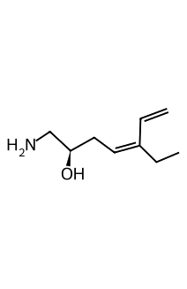 C=C/C(=C\C[C@@H](O)CN)CC